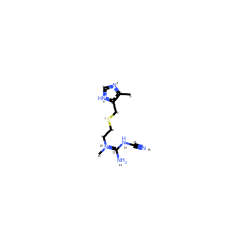 Cc1nc[nH]c1CSCC[N+](C)=C(N)NC#N